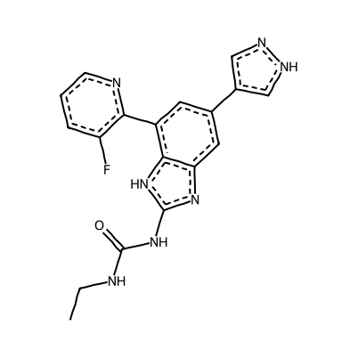 CCNC(=O)Nc1nc2cc(-c3cn[nH]c3)cc(-c3ncccc3F)c2[nH]1